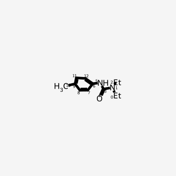 CCN(CC)C(=O)Nc1ccc(C)cc1